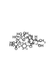 C#C[C@@]1(O)[C@@H](COC(Cc2ccccc2)(C(=O)O)C(=O)O)O[C@@H](n2cnc3c(NC(C)CO)nc(Cl)nc32)[C@@H]1O